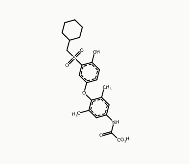 Cc1cc(NC(=O)C(=O)O)cc(C)c1Oc1ccc(O)c(S(=O)(=O)CC2CCCCC2)c1